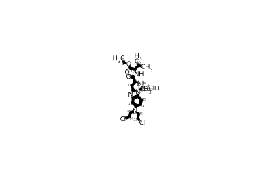 CCOC(=O)[C@@H](NC(=O)[C@@H](N)Cc1nc2cc(N(CCCl)CCCl)ccc2n1C)C(C)C.Cl.Cl